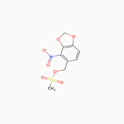 CS(=O)(=O)OCc1ccc2c(c1[N+](=O)[O-])OCO2